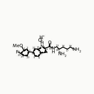 COc1cc(-c2ccc3cc(C(=O)NC[C@@H](N)CCCN)[nH]c3c2)ccc1F.[Cl-].[H+]